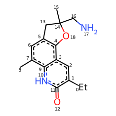 CCc1cc2c3c(cc(C)c2[nH]c1=O)CC(C)(CN)O3